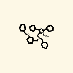 CCCCn1c(-c2ccccc2)nc(-c2ccccc2)c1CN(Cc1cccc(OCc2ccccc2)c1)CC1CCCCC1